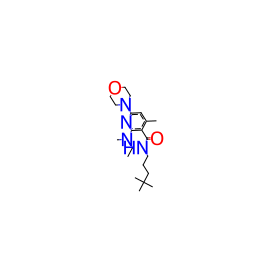 CCN(C)c1nc(N2CCOCC2)cc(C)c1C(=O)NCCCC(C)(C)C